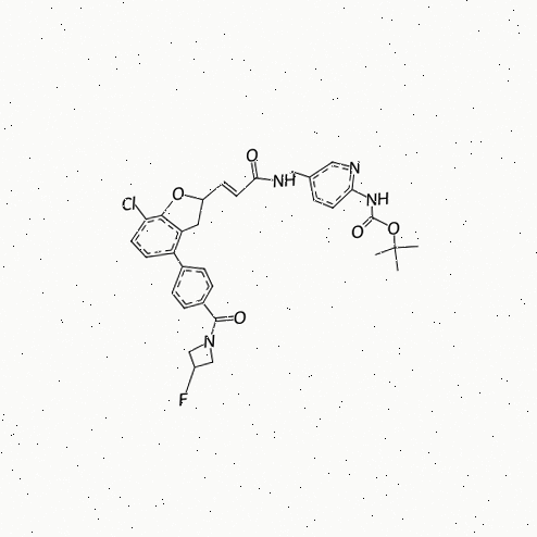 CC(C)(C)OC(=O)Nc1ccc(CNC(=O)C=CC2Cc3c(-c4ccc(C(=O)N5CC(F)C5)cc4)ccc(Cl)c3O2)cn1